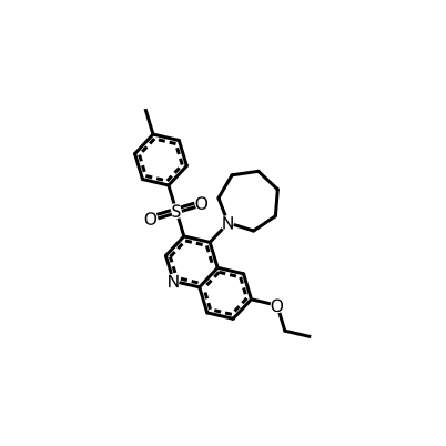 CCOc1ccc2ncc(S(=O)(=O)c3ccc(C)cc3)c(N3CCCCCC3)c2c1